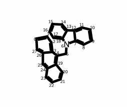 c1ccc2c(Cn3c4ccccc4c4ccccc43)c3ccccc3cc2c1